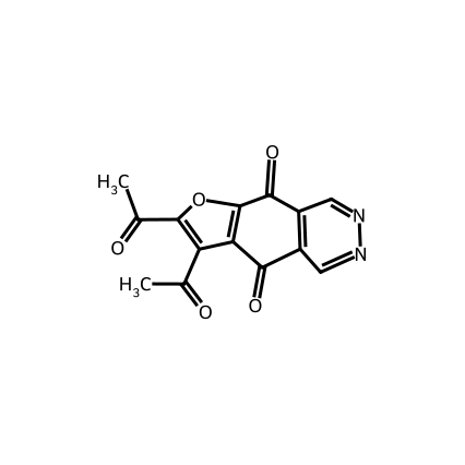 CC(=O)c1oc2c(c1C(C)=O)C(=O)c1cnncc1C2=O